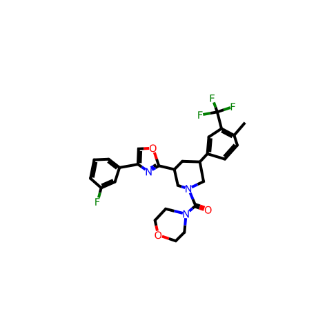 Cc1ccc(C2CC(c3nc(-c4cccc(F)c4)co3)CN(C(=O)N3CCOCC3)C2)cc1C(F)(F)F